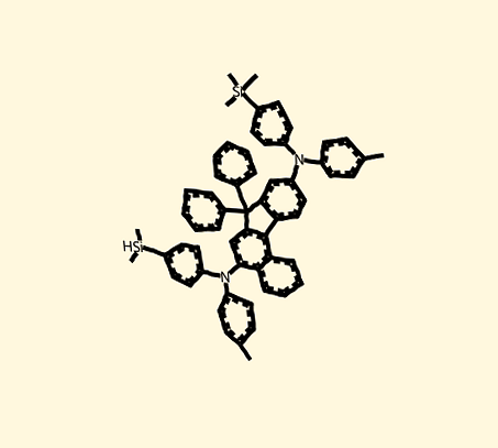 Cc1ccc(N(c2ccc([Si](C)(C)C)cc2)c2ccc3c(c2)C(c2ccccc2)(c2ccccc2)c2cc(N(c4ccc(C)cc4)c4ccc([SiH](C)C)cc4)c4ccccc4c2-3)cc1